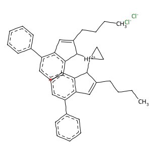 CCCCC1=Cc2c(-c3ccccc3)cccc2[CH]1[Hf+2]1([CH]2C(CCCC)=Cc3c(-c4ccccc4)cccc32)[CH2][CH2]1.[Cl-].[Cl-]